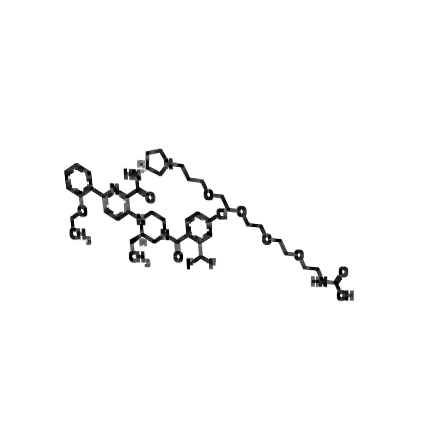 CCOc1ccccc1-c1ccc(N2CCN(C(=O)c3ccc(Cl)cc3C(F)F)C[C@H]2CC)c(C(=O)N[C@@H]2CCN(CCCOCCOCCOCCOCCNC(=O)O)C2)n1